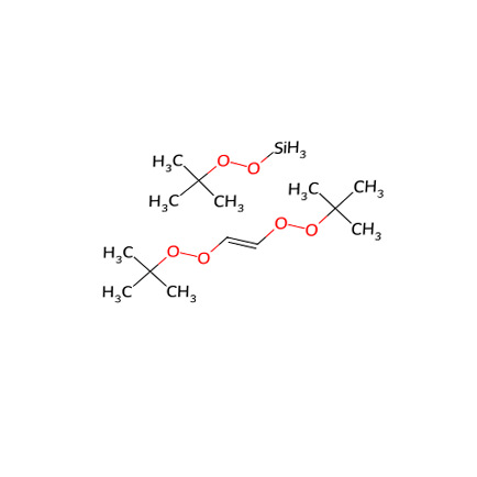 CC(C)(C)OOC=COOC(C)(C)C.CC(C)(C)OO[SiH3]